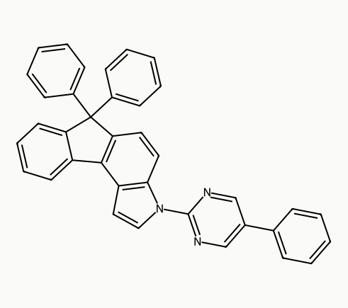 c1ccc(-c2cnc(-n3ccc4c5c(ccc43)C(c3ccccc3)(c3ccccc3)c3ccccc3-5)nc2)cc1